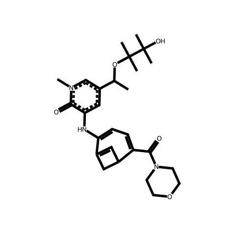 CC(OC(C)(C)C(C)(C)O)c1cc(NC2=CC=C(C(=O)N3CCOCC3)C3C=C2C3)c(=O)n(C)c1